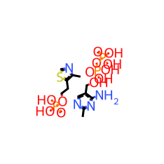 Cc1ncc(CO)c(N)n1.Cc1ncsc1CCOP(=O)(O)O.O=P(O)(O)OP(=O)(O)O